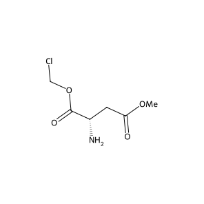 COC(=O)C[C@H](N)C(=O)OCCl